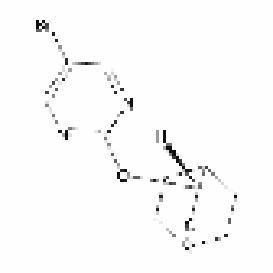 Brc1cnc(O[C@H]2CN3CCC2CC3)nc1